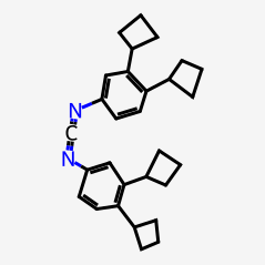 C(=Nc1ccc(C2CCC2)c(C2CCC2)c1)=Nc1ccc(C2CCC2)c(C2CCC2)c1